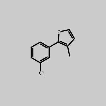 Cc1ccoc1-c1cccc(C(F)(F)F)c1